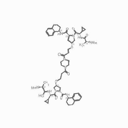 CN[C@@H](C)C(=O)N[C@H](C(=O)N1C[C@@H](OCCC(=O)N2CCN(C(=O)CCO[C@H]3C[C@@H](C(=O)N[C@@H]4CCCc5ccccc54)N(C(=O)[C@@H](NC(O)[C@H](C)NC)C4CC4)C3)CC2)C[C@H]1C(=O)N[C@@H]1CCCc2ccccc21)C1CC1